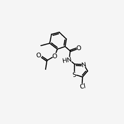 CC(=O)Oc1c(C)cccc1C(=O)Nc1ncc(Cl)s1